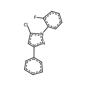 Fc1ccccc1-n1nc(-c2ccccc2)cc1Cl